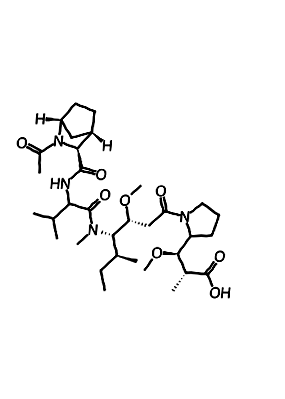 CC[C@H](C)[C@@H]([C@@H](CC(=O)N1CCCC1[C@H](OC)[C@@H](C)C(=O)O)OC)N(C)C(=O)C(NC(=O)[C@@H]1[C@H]2CC[C@H](C2)N1C(C)=O)C(C)C